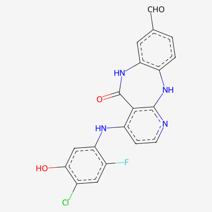 O=Cc1ccc2c(c1)NC(=O)c1c(Nc3cc(O)c(Cl)cc3F)ccnc1N2